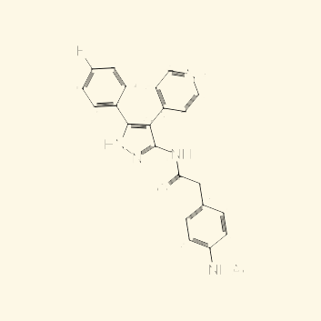 CC(=O)Nc1ccc(CC(=O)Nc2n[nH]c(-c3ccc(F)cc3)c2-c2ccncc2)cc1